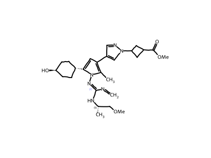 C=N/C(=N\n1c(C)c(-c2cnn(C3CC(C(=O)OC)C3)c2)cc1[C@H]1CC[C@H](O)CC1)N[C@@H](C)COC